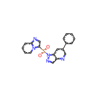 O=S(=O)(c1cnc2ccccn12)n1ncc2ncc(-c3ccccc3)cc21